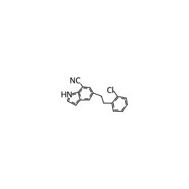 N#Cc1cc(CCc2ccccc2Cl)cc2cc[nH]c12